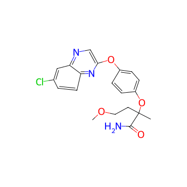 COCCC(C)(Oc1ccc(Oc2cnc3cc(Cl)ccc3n2)cc1)C(N)=O